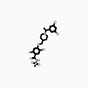 CC(c1cc(Cl)cc(Cl)c1)N1CCC(COc2cc(F)c(C(=O)NS(C)(=O)=O)cc2Cl)CC1